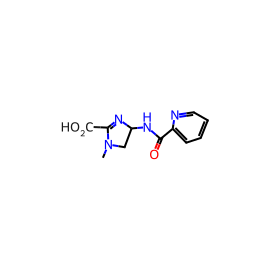 CN1CC(NC(=O)c2ccccn2)N=C1C(=O)O